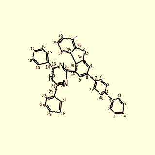 c1ccc(-c2ccc(-c3cc(-c4nc(-c5ccccc5)nc(-c5ccccc5)n4)c4c(c3)sc3ccccc34)cc2)cc1